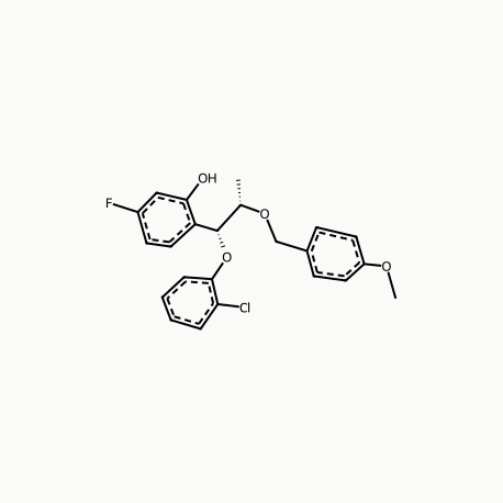 COc1ccc(CO[C@@H](C)[C@H](Oc2ccccc2Cl)c2ccc(F)cc2O)cc1